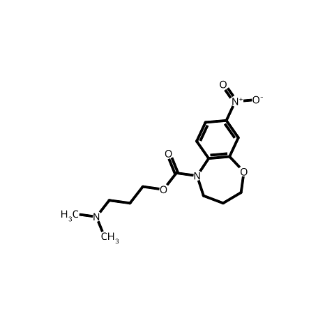 CN(C)CCCOC(=O)N1CCCOc2cc([N+](=O)[O-])ccc21